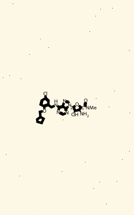 CNC(=O)[C@H]1O[C@@H](n2cnc3c(NCc4cc(Cl)ccc4OCC4CCCC4)ncnc32)[C@H](O)[C@@H]1N